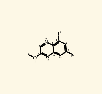 COc1cnc2c(I)cc(C)cc2n1